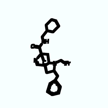 CC(C)CN1C2CC3(C(=O)NCC4CCCCC4)CC(C2C=N3)C1Cc1ccccc1